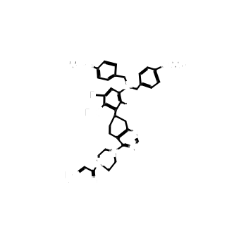 C=CC(=O)N1CCN(c2ncnc3c2CCC(c2c(F)c(N(Cc4ccc(OC)cc4)Cc4ccc(OC)cc4)cc(F)c2C(F)(F)F)C3)CC1